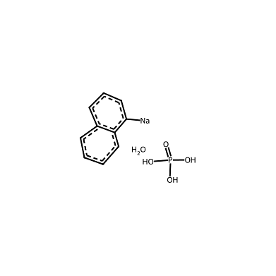 O.O=P(O)(O)O.[Na][c]1cccc2ccccc12